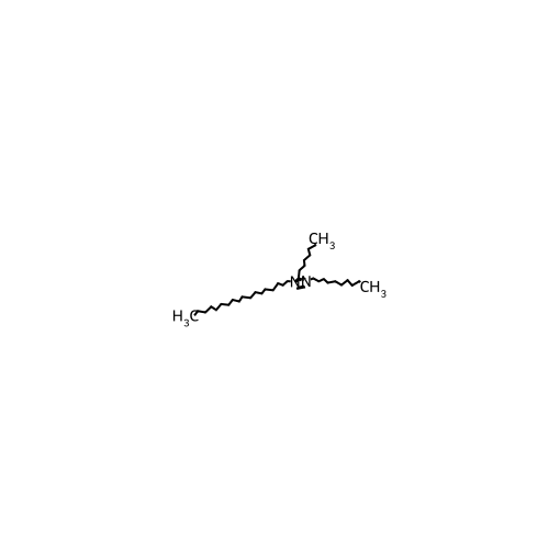 CCCCCCCCCCCCCCCCCC[n+]1ccn(CCCCCCCCCC)c1CCCCCCC